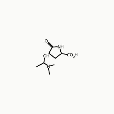 CC(O)N(C)C.O=C1CCC(C(=O)O)N1